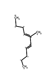 CCCC=CC(C)=CCCC